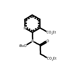 CCOC(=O)CC(=O)N(OCC(C)C)c1ncccc1C(=O)OCC